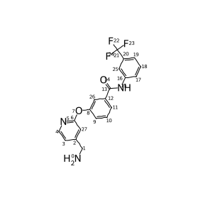 NCc1ccnc(Oc2cccc(C(=O)Nc3cccc(C(F)(F)F)c3)c2)c1